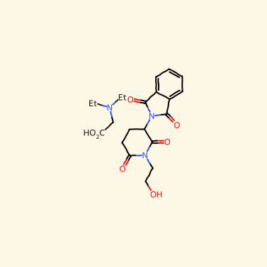 CCN(CC)CC(=O)O.O=C1CCC(N2C(=O)c3ccccc3C2=O)C(=O)N1CCO